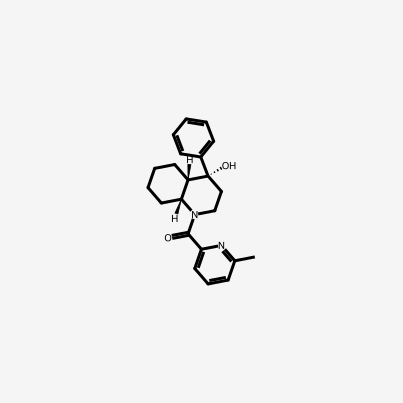 Cc1cccc(C(=O)N2CC[C@](O)(c3ccccc3)[C@H]3CCCC[C@H]32)n1